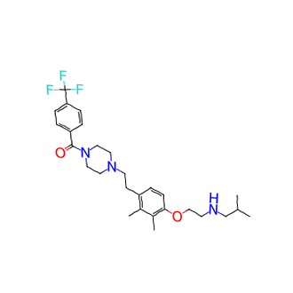 Cc1c(CCN2CCN(C(=O)c3ccc(C(F)(F)F)cc3)CC2)ccc(OCCNCC(C)C)c1C